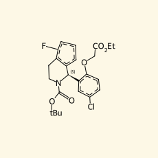 CCOC(=O)COc1ccc(Cl)cc1[C@@H]1c2cccc(F)c2CCN1C(=O)OC(C)(C)C